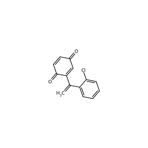 C=C(C1=CC(=O)C=CC1=O)c1ccccc1Cl